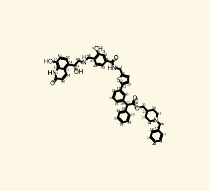 Cc1cc(C(=O)NCc2ccc(-c3cccc(C(C(=O)OCC4CCN(Cc5ccccc5)CC4)c4ccccc4)c3)s2)ccc1CNC[C@H](O)c1ccc(O)c2[nH]c(=O)ccc12